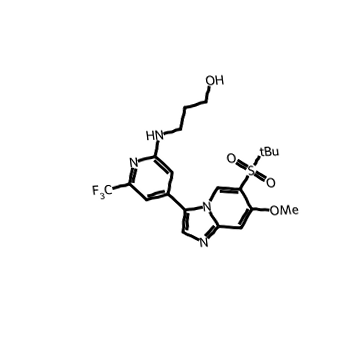 COc1cc2ncc(-c3cc(NCCCO)nc(C(F)(F)F)c3)n2cc1S(=O)(=O)C(C)(C)C